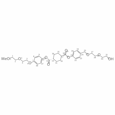 COCCOCCOc1ccc(OC(=O)[C@H]2CC[C@H](C(=O)Oc3ccc(COCCOCCO)cc3)CC2)cc1